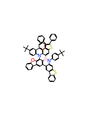 CC(C)(C)c1ccc(N2B3c4cc5sc(-c6ccccc6)c(-c6ccccc6)c5cc4N(c4ccc(C(C)(C)C)cc4-c4ccccc4)c4c3c(cc3c4oc4ccccc43)-c3cc4c(cc32)sc2ccccc24)cc1